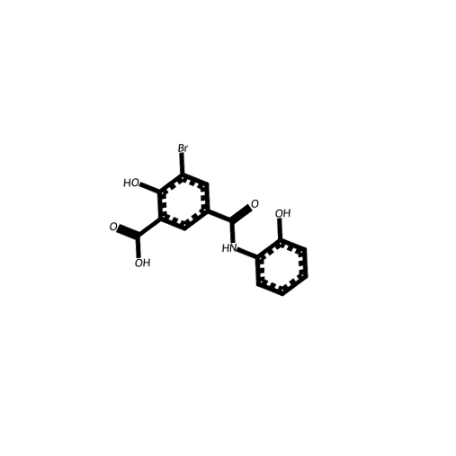 O=C(Nc1ccccc1O)c1cc(Br)c(O)c(C(=O)O)c1